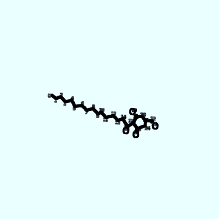 CCCCCCCCCCCCCCCC(=O)C1C(=O)CC(C=O)CC1=O